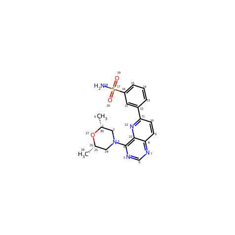 C[C@@H]1CN(c2ncnc3ccc(-c4cccc(S(N)(=O)=O)c4)nc23)C[C@H](C)O1